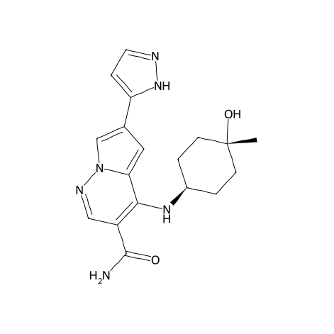 C[C@]1(O)CC[C@H](Nc2c(C(N)=O)cnn3cc(-c4ccn[nH]4)cc23)CC1